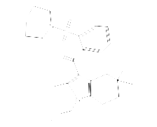 Cc1c(C(=O)c2ccccc2S(=O)(=O)N2CCOCC2)c2c(n1CC(=O)O)CCC(C)(C)C2